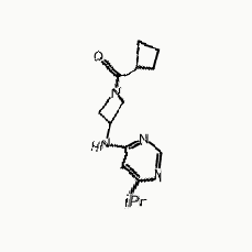 CC(C)c1cc(NC2CN(C(=O)C3CCC3)C2)ncn1